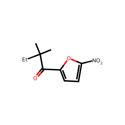 CCC(C)(C)C(=O)c1ccc([N+](=O)[O-])o1